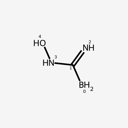 BC(=N)NO